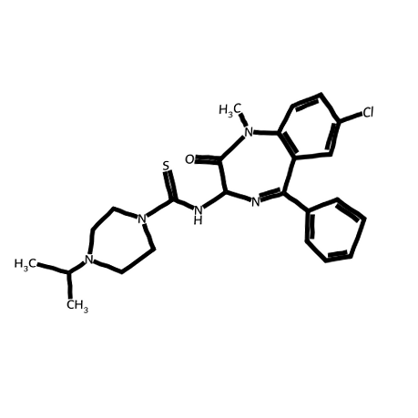 CC(C)N1CCN(C(=S)NC2N=C(c3ccccc3)c3cc(Cl)ccc3N(C)C2=O)CC1